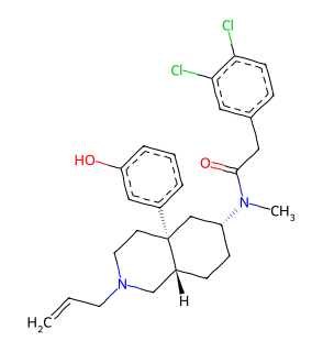 C=CCN1CC[C@@]2(c3cccc(O)c3)C[C@H](N(C)C(=O)Cc3ccc(Cl)c(Cl)c3)CC[C@@H]2C1